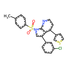 Cc1ccc(S(=O)(=O)n2cc(-c3cccc(Cl)c3)c3c(-c4ccsc4)ccnc32)cc1